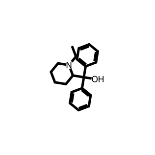 CCN1CCCCC1C(O)(c1ccccc1)c1ccccc1